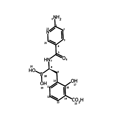 Nc1ccc(C(=O)N[C@@H](Cc2cccc(C(=O)O)c2O)B(O)O)cn1